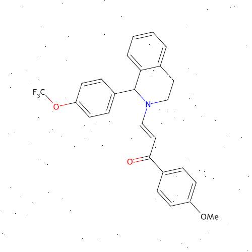 COc1ccc(C(=O)C=CN2CCc3ccccc3C2c2ccc(OC(F)(F)F)cc2)cc1